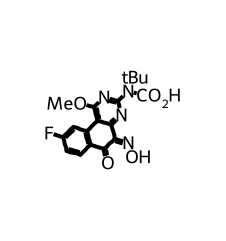 COc1nc(N(C(=O)O)C(C)(C)C)nc2c1-c1cc(F)ccc1C(=O)C2=NO